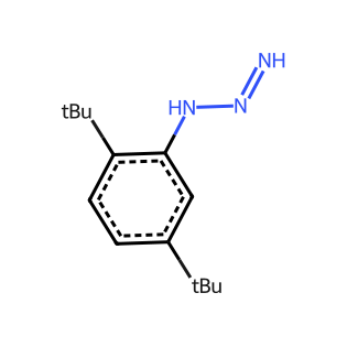 CC(C)(C)c1ccc(C(C)(C)C)c(NN=N)c1